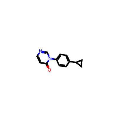 O=c1ccncn1-c1ccc(C2CC2)cc1